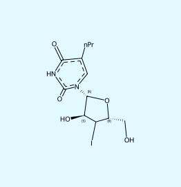 CCCc1cn([C@@H]2O[C@H](CO)C(I)[C@H]2O)c(=O)[nH]c1=O